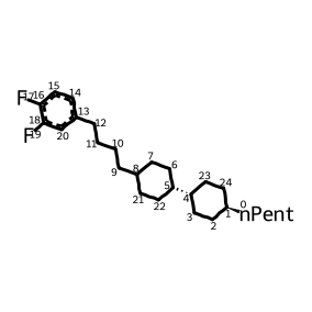 CCCCC[C@H]1CC[C@H](C2CCC(CCCCc3ccc(F)c(F)c3)CC2)CC1